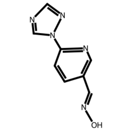 ON=Cc1ccc(-n2cncn2)nc1